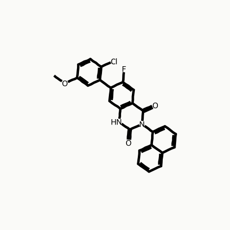 COc1ccc(Cl)c(-c2cc3[nH]c(=O)n(-c4cccc5ccccc45)c(=O)c3cc2F)c1